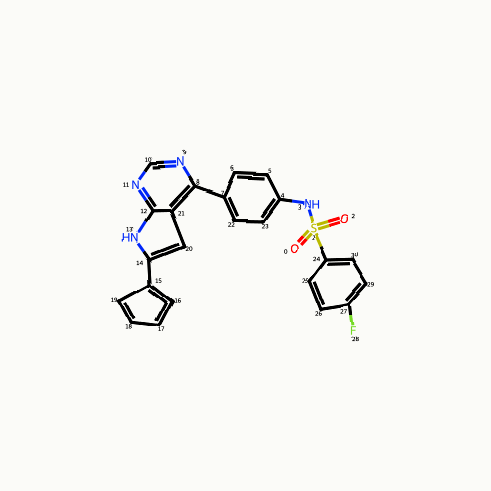 O=S(=O)(Nc1ccc(-c2ncnc3[nH]c(C4=C=CC=C4)cc23)cc1)c1ccc(F)cc1